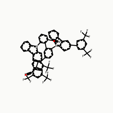 N#Cc1ccc(-c2ccc(-n3c4ccccc4c4cc(-c5cc(C(F)(F)F)cc(C(F)(F)F)c5)ccc43)c(-c3c(C#N)cccc3-n3c4ccccc4c4cc(-c5cc(C(F)(F)F)cc(C(F)(F)F)c5)ccc43)c2)c(C(F)(F)F)c1